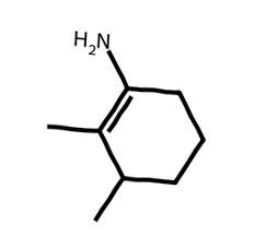 CC1=C(N)CCCC1C